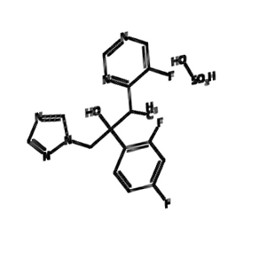 CC(c1ncncc1F)C(O)(Cn1cncn1)c1ccc(F)cc1F.O=S(=O)(O)O